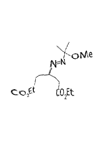 CCOC(=O)CC(CC(=O)OCC)/N=N/C(C)(C)OC